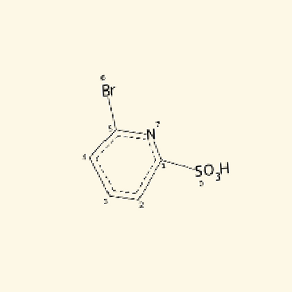 O=S(=O)(O)c1cccc(Br)n1